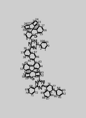 c1ccc(-c2nc(-c3cccc4c3Sc3ccccc3C43c4ccccc4-c4ccccc43)nc(-c3cccc4cc(-c5cccc6c5-c5ccccc5C65c6ccccc6Sc6c(-c7nc(-c8ccccc8)nc(-c8ccc(-c9ccccc9)c9ccccc89)n7)cccc65)ccc34)n2)cc1